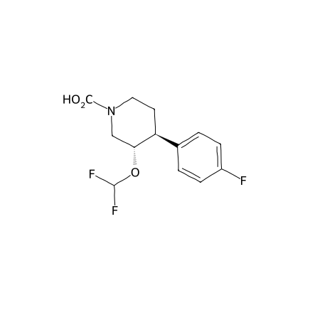 O=C(O)N1CC[C@@H](c2ccc(F)cc2)[C@H](OC(F)F)C1